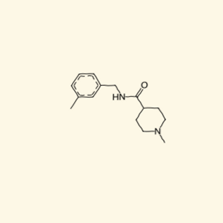 Cc1cccc(CNC(=O)C2CCN(C)CC2)c1